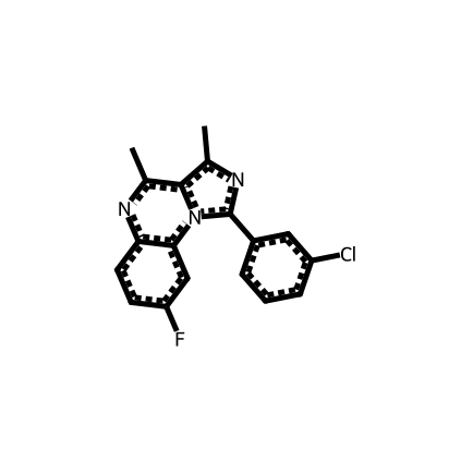 Cc1nc(-c2cccc(Cl)c2)n2c1c(C)nc1ccc(F)cc12